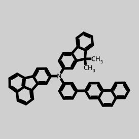 CC1(C)c2ccccc2-c2ccc(N(c3cccc(-c4ccc5c(ccc6ccccc65)c4)c3)c3ccc4c(c3)-c3cccc5cccc-4c35)cc21